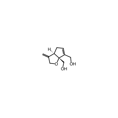 C=C1CO[C@@]2(CO)C(CO)=CC[C@H]12